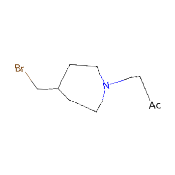 CC(=O)CN1CCC(CBr)CC1